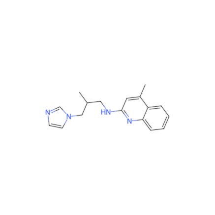 Cc1cc(NCC(C)Cn2ccnc2)nc2ccccc12